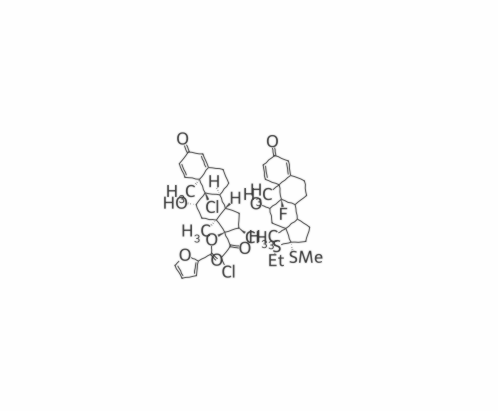 CCS[C@]1(SC)CCC2C3CCC4=CC(=O)C=CC4(C)[C@@]3(F)C(O)CC21C.C[C@@H]1C[C@H]2[C@@H]3CCC4=CC(=O)C=C[C@]4(C)[C@@]3(Cl)[C@@H](O)C[C@]2(C)[C@@]1(OC(=O)c1ccco1)C(=O)CCl